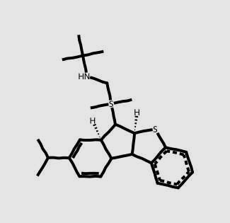 CC(C)C1=C[C@@H]2C(C=C1)C1c3ccccc3S[C@@H]1C2S(C)(C)CNC(C)(C)C